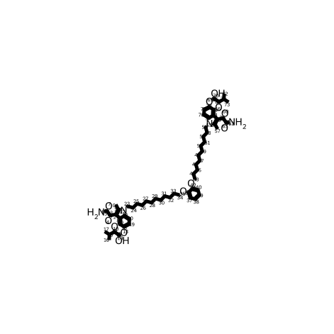 Cc1c(C(=O)C(N)=O)c2c(OC(C(=O)O)C(C)C)cccc2n1CCCCCCCCCCCCOc1ccccc1OCCCCCCCCCCCCn1c(C)c(C(=O)C(N)=O)c2c(OC(C(=O)O)C(C)C)cccc21